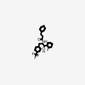 O=C(CCc1ccccc1)NC(Cc1ccc(C(F)(F)F)cc1)C(O)c1ccccc1F